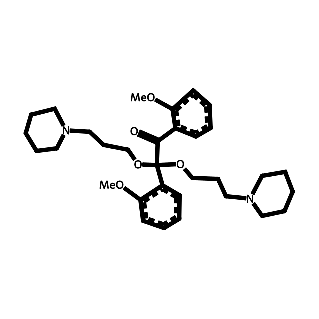 COc1ccccc1C(=O)C(OCCCN1CCCCC1)(OCCCN1CCCCC1)c1ccccc1OC